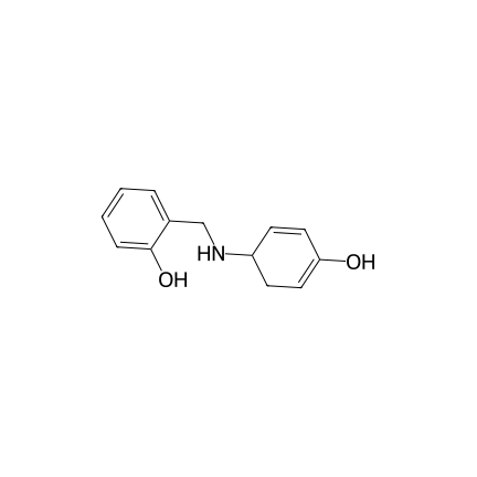 OC1=CCC(NCc2ccccc2O)C=C1